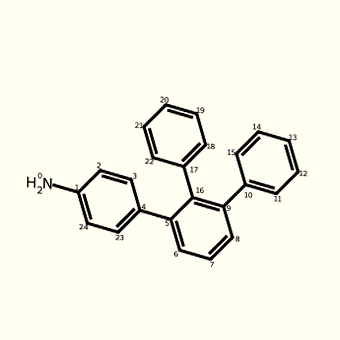 Nc1ccc(-c2cccc(-c3ccccc3)c2-c2ccccc2)cc1